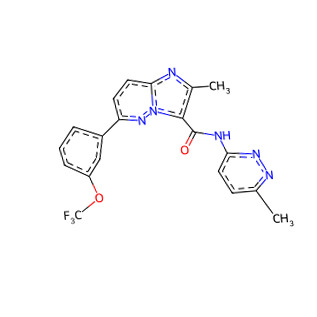 Cc1ccc(NC(=O)c2c(C)nc3ccc(-c4cccc(OC(F)(F)F)c4)nn23)nn1